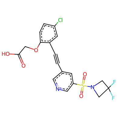 O=C(O)COc1ccc(Cl)cc1C#Cc1cncc(S(=O)(=O)N2CC(F)(F)C2)c1